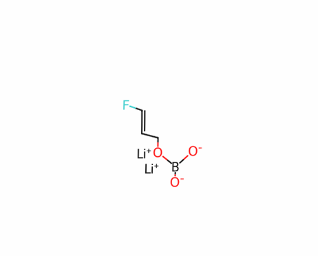 [Li+].[Li+].[O-]B([O-])OCC=CF